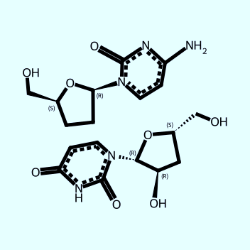 Nc1ccn([C@H]2CC[C@@H](CO)O2)c(=O)n1.O=c1ccn([C@@H]2O[C@H](CO)C[C@H]2O)c(=O)[nH]1